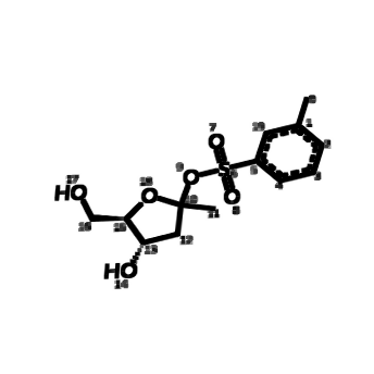 Cc1cccc(S(=O)(=O)OC2(C)C[C@H](O)[C@@H](CO)O2)c1